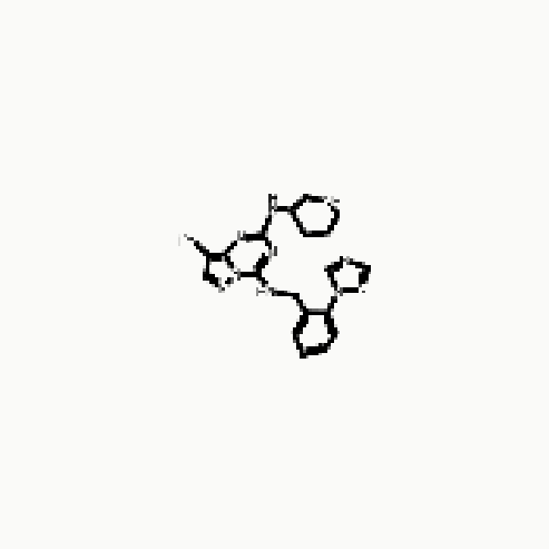 CC(C)c1cnn2c(NCc3ccccc3-n3cncn3)nc(NC3CCCNC3)nc12